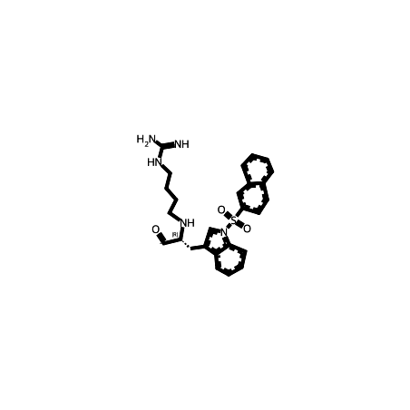 N=C(N)NCCCCN[C@@H]([C]=O)Cc1cn(S(=O)(=O)c2ccc3ccccc3c2)c2ccccc12